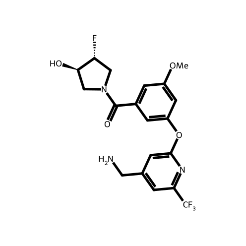 COc1cc(Oc2cc(CN)cc(C(F)(F)F)n2)cc(C(=O)N2C[C@@H](O)[C@H](F)C2)c1